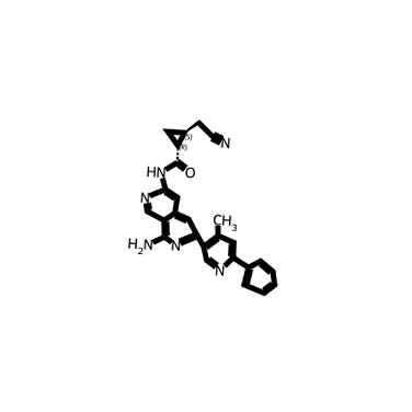 Cc1cc(-c2ccccc2)ncc1-c1cc2cc(NC(=O)[C@@H]3C[C@H]3CC#N)ncc2c(N)n1